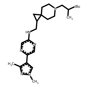 Cc1nn(C)cc1-c1cnc(NCC2CC23CCN(CC(C)C(C)(C)C)CC3)cn1